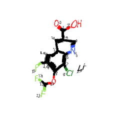 O=C(O)c1cnc2c(Cl)c(OC(F)F)c(F)cc2c1.[Li]